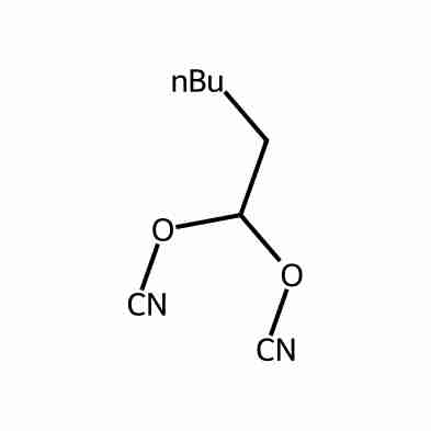 CCCCCC(OC#N)OC#N